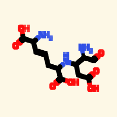 NC(C=CCC(NC(CC(=O)O)[C@@H](N)C=O)C(=O)O)C(=O)O